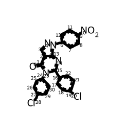 O=c1c2cnn(-c3ccc([N+](=O)[O-])cc3)c2nc(-c2ccc(Cl)cc2)n1-c1ccc(Cl)cc1